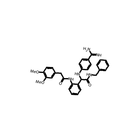 COc1ccc(CC(=O)Nc2ccccc2C(Nc2ccc(C(=N)N)cc2)C(=O)NCc2ccccc2)cc1OC